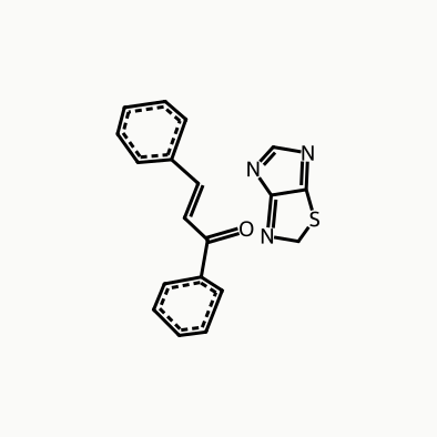 C1=NC2=NCSC2=N1.O=C(C=Cc1ccccc1)c1ccccc1